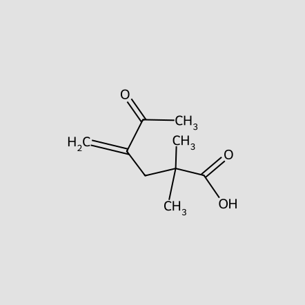 C=C(CC(C)(C)C(=O)O)C(C)=O